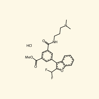 COC(=O)c1cc(C(=O)NCCCN(C)C)cc(-c2c(C(F)F)oc3ccccc23)c1.Cl